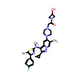 Cc1cn2nc(C3CC3)c(N(C)c3nc(-c4ccc(F)cc4)c(C#N)s3)c2cc1N1CCN(CC(=O)N2CC(O)C2)CC1